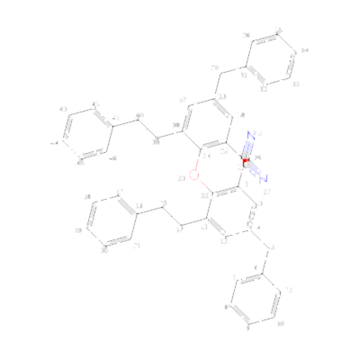 N#Cc1cc(Cc2ccccc2)cc(CCc2ccccc2)c1Oc1c(C#N)cc(Cc2ccccc2)cc1CCc1ccccc1